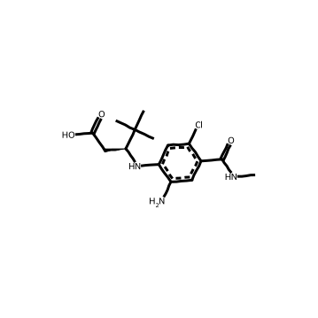 CNC(=O)c1cc(N)c(N[C@@H](CC(=O)O)C(C)(C)C)cc1Cl